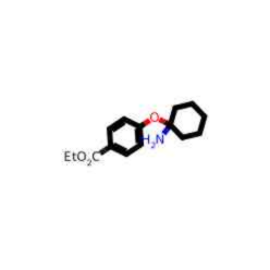 CCOC(=O)c1ccc(OC2(N)CCCCC2)cc1